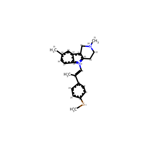 CSc1ccc(C(C)=Cn2c3c(c4cc(C)ccc42)CN(C)CC3)cc1